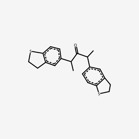 CC(C(=O)C(C)c1ccc2c(c1)CCS2)c1ccc2c(c1)CCS2